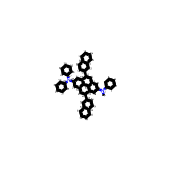 CN(c1ccccc1)c1cc2cc(-c3ccc4ccccc4c3)c3cc(N(c4ccccc4)c4ccccc4)cc4cc(-c5ccc6ccccc6c5)c(c1)c2c43